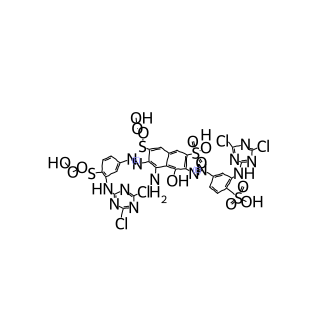 Nc1c(/N=N/c2ccc(SOOO)c(Nc3nc(Cl)nc(Cl)n3)c2)c(SOOO)cc2cc(S(=O)(=O)O)c(/N=N/c3ccc(S(=O)(=O)O)c(Nc4nc(Cl)nc(Cl)n4)c3)c(O)c12